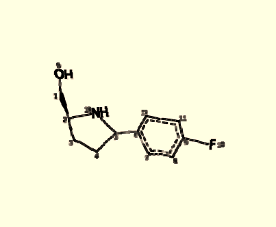 OC[C@@H]1CCC(c2ccc(F)cc2)N1